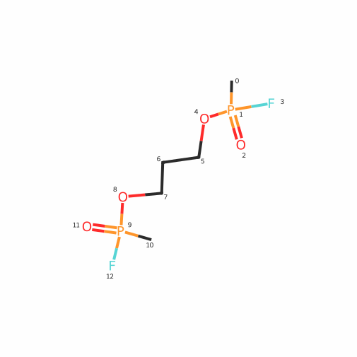 CP(=O)(F)OCCCOP(C)(=O)F